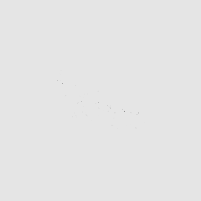 CCO[C@H]1C[C@H](S(=O)(=O)c2c(Cl)ccc(NC(=O)NC3CCC=C3Cl)c2O)C1